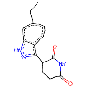 CCc1ccc2c(C3CCC(=O)NC3=O)n[nH]c2c1